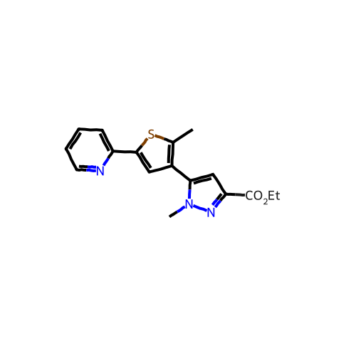 CCOC(=O)c1cc(-c2cc(-c3ccccn3)sc2C)n(C)n1